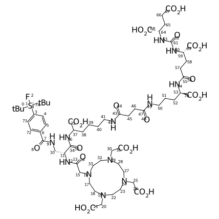 CC(C)(C)[Si](F)(c1ccc(C(=O)NC[C@@H](NC(=O)CN2CCN(CC(=O)O)CCN(CC(=O)O)CCN(CC(=O)O)CC2)C(=O)NC(CCCCNC(=O)CCC(=O)NCCC[C@@H](NC(=O)CC[C@H](NC(=O)N[C@@H](CCC(=O)O)C(=O)O)C(=O)O)C(=O)O)C(=O)O)cc1)C(C)(C)C